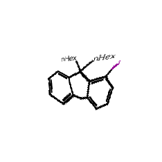 CCCCCCC1(CCCCCC)c2ccccc2-c2cccc(I)c21